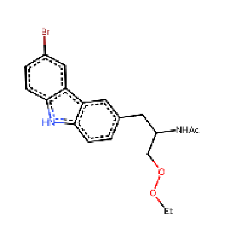 CCOOCC(Cc1ccc2[nH]c3ccc(Br)cc3c2c1)NC(C)=O